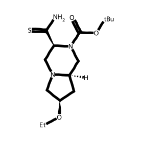 CCO[C@@H]1C[C@@H]2CN(C(=O)OC(C)(C)C)[C@H](C(N)=S)CN2C1